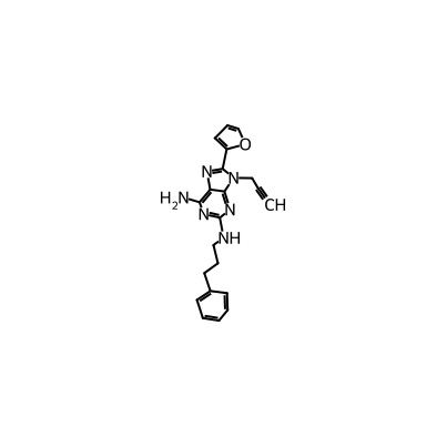 C#CCn1c(-c2ccco2)nc2c(N)nc(NCCCc3ccccc3)nc21